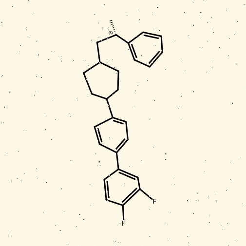 C[C@@H](CC1CCC(c2ccc(-c3ccc(F)c(F)c3)cc2)CC1)c1ccccc1